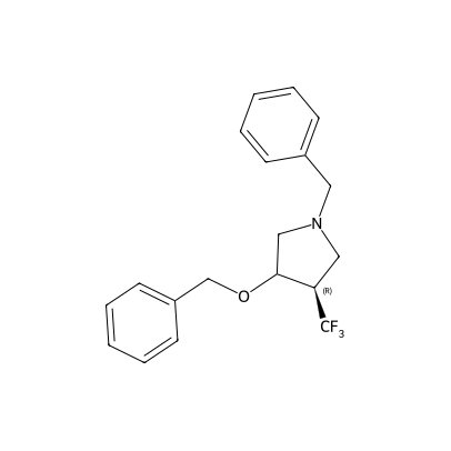 FC(F)(F)[C@@H]1CN(Cc2ccccc2)CC1OCc1ccccc1